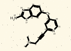 CN(C)CC#Cc1cc(Oc2ccc3nc(N)sc3c2)ccn1